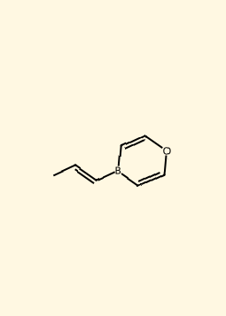 CC=CB1C=COC=C1